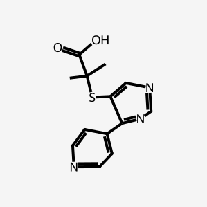 CC(C)(Sc1cncnc1-c1ccncc1)C(=O)O